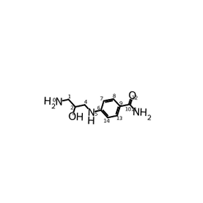 NCC(O)CNc1ccc(C(N)=O)cc1